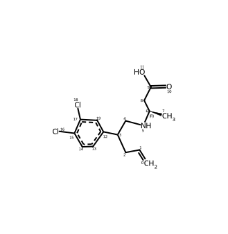 C=CCC(CN[C@H](C)CC(=O)O)c1ccc(Cl)c(Cl)c1